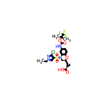 CCn1cc(S(=O)(=O)N2C[C@H]([C@@H]3C[C@H]3C(=O)O)Oc3ccc(NC(=O)OC(C)(C)C(F)(F)F)cc32)c(Cl)n1